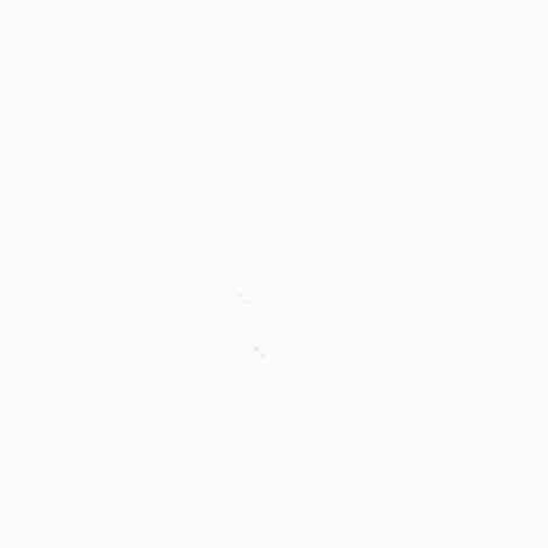 CC(C)Cn1c(CNC(=O)O)c(-c2ccccc2)c2cc(OC(C)(C)C(N)=O)ccc2c1=O